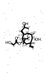 C=C[C@]1(C)C[C@@H](OC(=O)CO)[C@@]2(C)C3=CC(O)C[C@@]3(CCC2C)[C@@H](C)[C@@H]1O